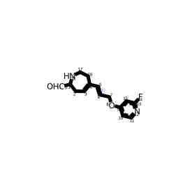 O=CC1CC=C(/C=C/COc2ccnc(F)c2)CCN1